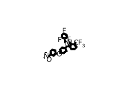 CN(C)C(=O)c1cccc(Oc2ccc(-c3c4cccc(C(F)(F)F)c4nn3Cc3c(F)cc(F)cc3F)cc2)c1